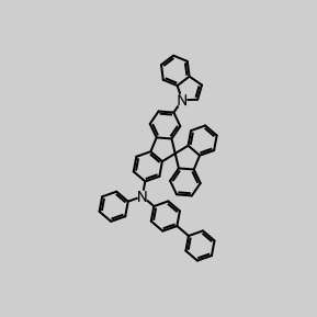 c1ccc(-c2ccc(N(c3ccccc3)c3ccc4c(c3)C3(c5ccccc5-c5ccccc53)c3cc(-n5ccc6ccccc65)ccc3-4)cc2)cc1